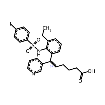 CCc1cccc(/C(=C\CCCC(=O)O)c2cccnc2)c1NS(=O)(=O)c1ccc(I)cc1